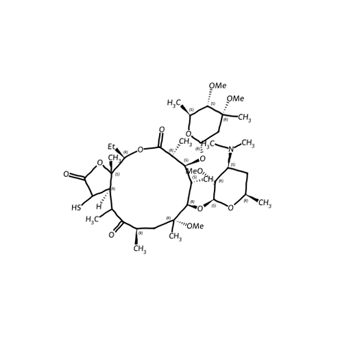 CC[C@H]1OC(=O)[C@H](C)[C@@H](O[C@H]2C[C@@](C)(OC)[C@@H](OC)[C@H](C)O2)[C@H](C)[C@@H](O[C@@H]2O[C@H](C)C[C@H](N(C)C)[C@H]2OC)[C@](C)(OC)C[C@@H](C)C(=O)C(C)[C@H]2C(S)C(=O)O[C@@]21C